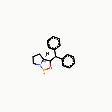 c1ccc(C(c2ccccc2)C2OPN3CCC[C@@H]23)cc1